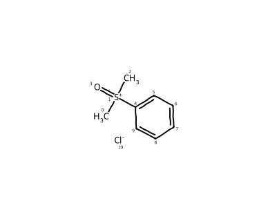 C[S+](C)(=O)c1ccccc1.[Cl-]